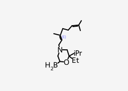 BC1CN(C/C=C(\C)CCC=C(C)C)CC(CC)(C(C)C)O1